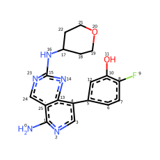 Nc1ncc(-c2ccc(F)c(O)c2)c2nc(NC3CCOCC3)ncc12